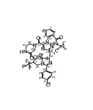 CC1(NC(=O)c2ccncc2-n2nc(Cn3nc(-c4ccc(Cl)cc4)n(CC(O)C(F)(F)F)c3=O)nc2C(=O)N2CCNC(=O)C2)CC1